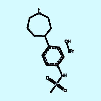 CCCO.CS(=O)(=O)Nc1ccc(C2CCCNCC2)cc1